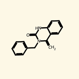 C=C1c2ccccc2NC(=O)N1Cc1ccccc1